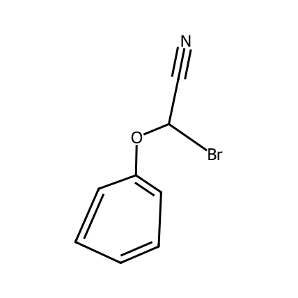 N#CC(Br)Oc1ccccc1